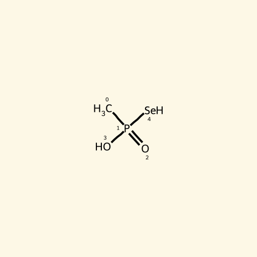 CP(=O)(O)[SeH]